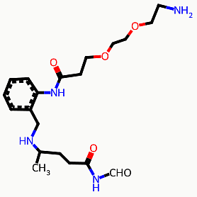 CC(CCC(=O)NC=O)NCc1ccccc1NC(=O)CCOCCOCCN